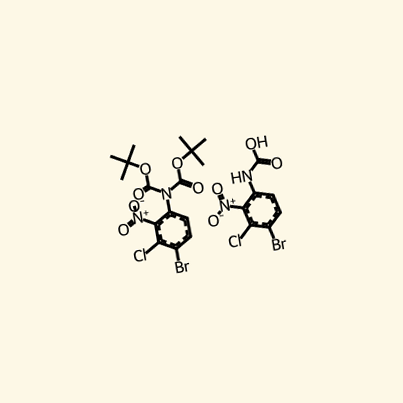 CC(C)(C)OC(=O)N(C(=O)OC(C)(C)C)c1ccc(Br)c(Cl)c1[N+](=O)[O-].O=C(O)Nc1ccc(Br)c(Cl)c1[N+](=O)[O-]